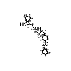 c1ccc(COc2ccc3c(c2)OC(CNCCc2c[nH]c4ccccc24)CC3)cc1